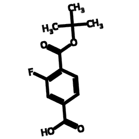 CC(C)(C)OC(=O)c1ccc(C(=O)O)cc1F